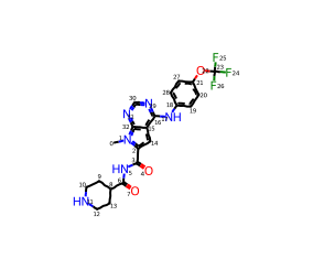 Cn1c(C(=O)NC(=O)C2CCNCC2)cc2c(Nc3ccc(OC(F)(F)F)cc3)ncnc21